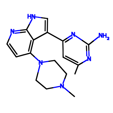 Cc1cc(-c2c[nH]c3nccc(N4CCN(C)CC4)c23)nc(N)n1